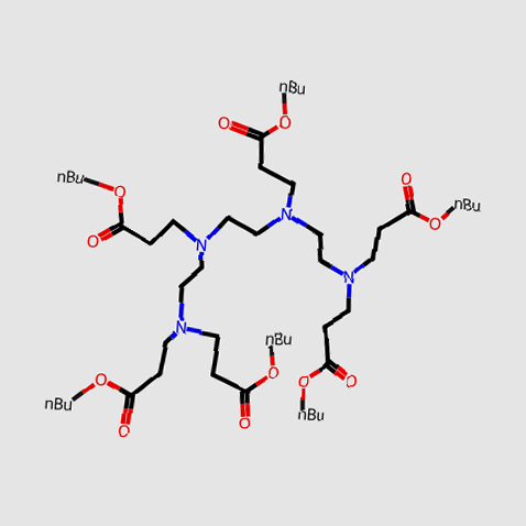 CCCCOC(=O)CCN(CCC(=O)OCCCC)CCN(CCC(=O)OCCCC)CCN(CCC(=O)OCCCC)CCN(CCC(=O)OCCCC)CCC(=O)OCCCC